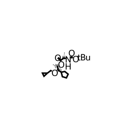 C[C@H](NC(=O)OC(C)(C)C)C(=O)O[C@@H](C)[C@H](OCC1CC1)C1CCCC1